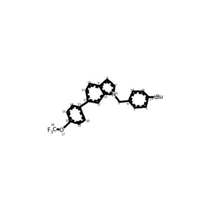 CC(C)(C)c1ccc(Cn2c[c]c3ccc(-c4ccc(OC(F)(F)F)cc4)cc32)cc1